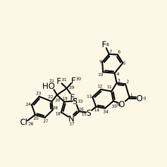 O=c1cc(-c2ccc(F)cc2)c2ccc(Sc3ncc(C(O)(c4ccc(Cl)cc4)C(F)(F)F)s3)cc2o1